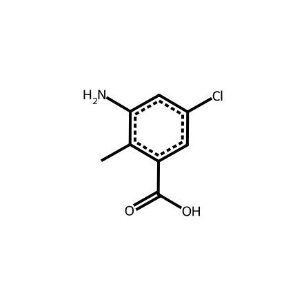 Cc1c(N)cc(Cl)cc1C(=O)O